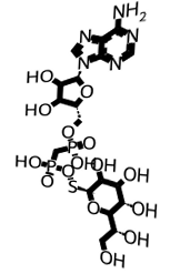 Nc1ncnc2c1ncn2[C@@H]1O[C@H](COP(=O)(O)CP(=O)(O)OS[C@@H]2OC([C@H](O)CO)[C@@H](O)C(O)C2O)C(O)C1O